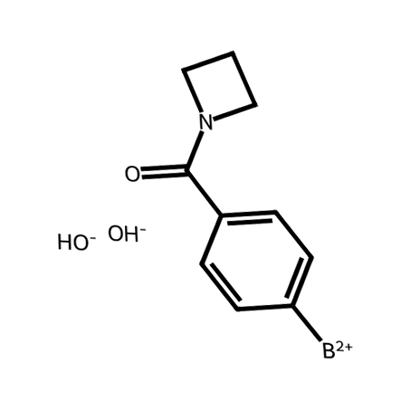 [B+2]c1ccc(C(=O)N2CCC2)cc1.[OH-].[OH-]